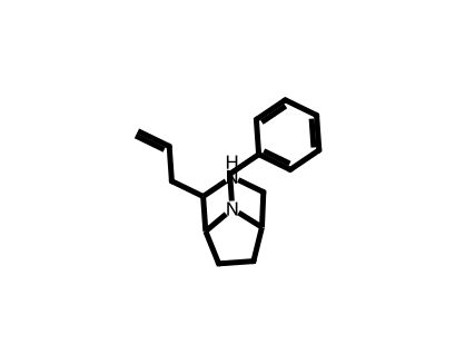 C=CCC1NCC2CCC1N2Cc1ccccc1